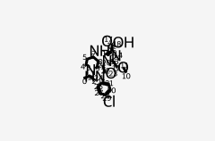 CC(C)N1CCC(N)CC1.COCc1nc(C(=O)O)cn1CC(=O)Nc1ccc(Cl)cc1